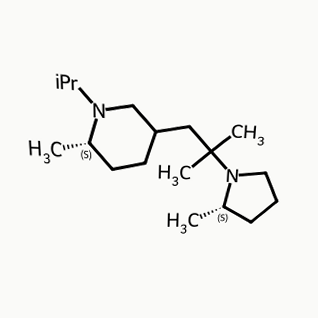 CC(C)N1CC(CC(C)(C)N2CCC[C@@H]2C)CC[C@@H]1C